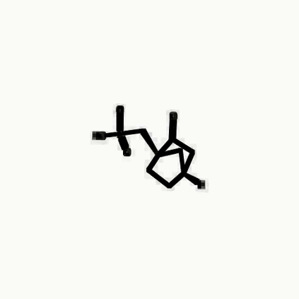 O=C1C[C@@H]2CC[C@@]1(CS(=O)(=O)O)C2